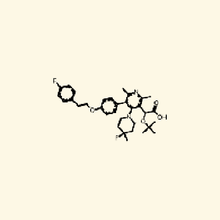 Cc1nc(C)c([C@H](OC(C)(C)C)C(=O)O)c(N2CCC(C)(F)CC2)c1-c1ccc(OCCc2ccc(F)cc2)cc1